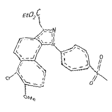 CCOC(=O)c1nn(-c2ccc(S(C)(=O)=O)cc2)c2c1ccc1c(Cl)c(OC)ccc12